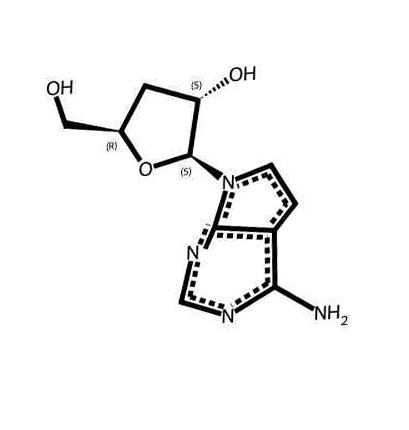 Nc1ncnc2c1ccn2[C@H]1O[C@@H](CO)C[C@@H]1O